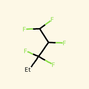 CCC(F)(F)C(F)C(F)F